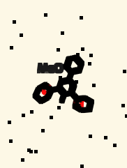 COc1ccccc1-c1cc(-c2cc3oc2CC3)c(C)c(-c2cc3ccc2o3)c1